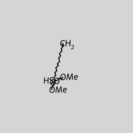 C=CCCCCCCCCCCCCC[SiH](OCCOC)OCCOC